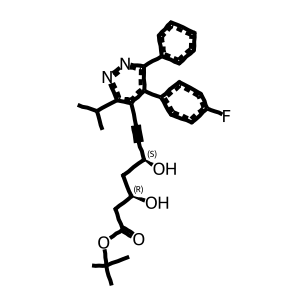 CC(C)c1nnc(-c2ccccc2)c(-c2ccc(F)cc2)c1C#C[C@@H](O)C[C@@H](O)CC(=O)OC(C)(C)C